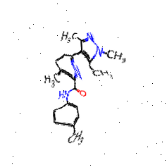 Cc1ccc(NC(=O)c2nc(-c3c(C)nn(C)c3C)ccc2C)cc1